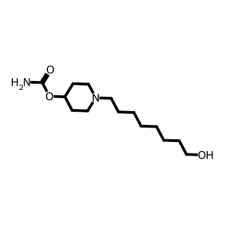 NC(=O)OC1CCN(CCCCCCCCO)CC1